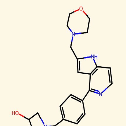 OC1CN(Cc2ccc(-c3nccc4[nH]c(CN5CCOCC5)cc34)cc2)C1